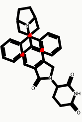 O=C1CCC(N2Cc3cc(N4CC5CCC(C4)N5C(c4ccccc4)c4ccccc4)ccc3C2=O)C(=O)N1